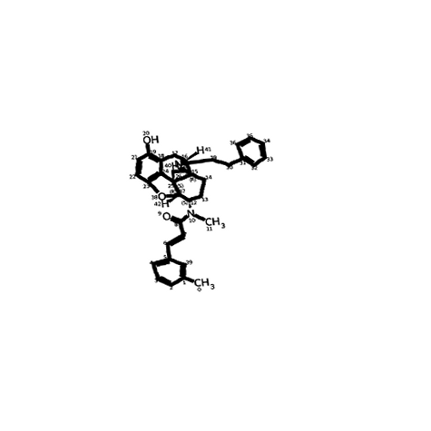 Cc1cccc(C=CC(=O)N(C)[C@H]2CC[C@H]3[C@H]4Cc5c(O)ccc6c5[C@@]3(CCN4CCc3ccccc3)[C@H]2O6)c1